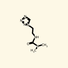 CN(C)C(=O)NCCn1[c]nnn1